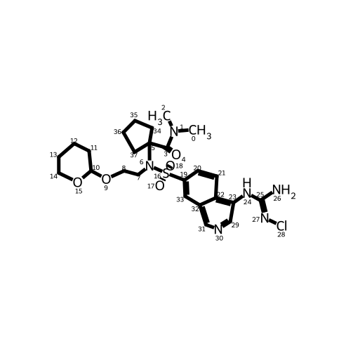 CN(C)C(=O)C1(N(CCOC2CCCCO2)S(=O)(=O)c2ccc3c(NC(N)=NCl)cncc3c2)CCCC1